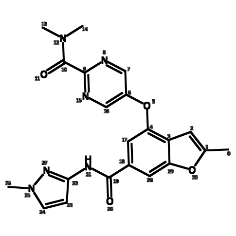 Cc1cc2c(Oc3cnc(C(=O)N(C)C)nc3)cc(C(=O)Nc3ccn(C)n3)cc2o1